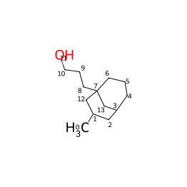 CC1CC2CCCC(CCCO)(C1)C2